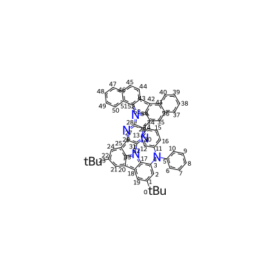 CC(C)(C)c1cc(N(c2ccccc2)c2ccccc2)c2c(c1)c1cc(C(C)(C)C)cc3c4nc5c(nc4n2c13)c1cc2ccccc2c2c3ccc4ccccc4c3n5c12